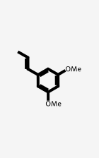 C/C=C/c1cc(OC)cc(OC)c1